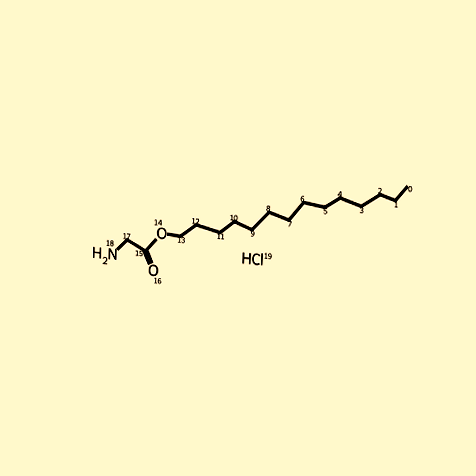 CCCCCCCCCCCCCCOC(=O)CN.Cl